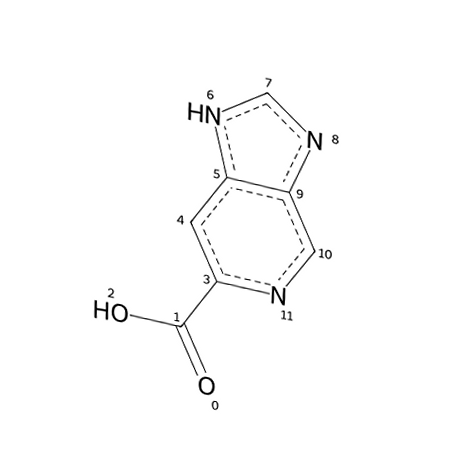 O=C(O)c1cc2[nH]cnc2cn1